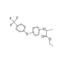 CCOC(=O)C(C)Oc1ccc(Sc2ccc(C(F)(F)F)cc2)cc1